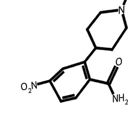 CN1CCC(c2cc([N+](=O)[O-])ccc2C(N)=O)CC1